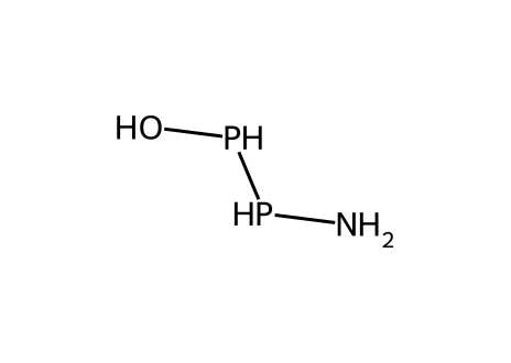 NPPO